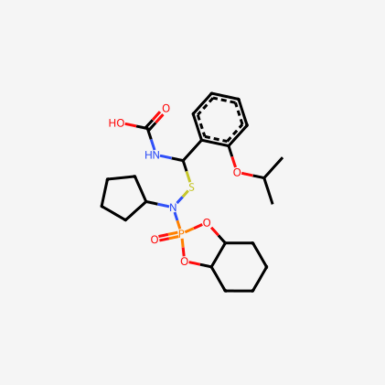 CC(C)Oc1ccccc1C(NC(=O)O)SN(C1CCCC1)P1(=O)OC2CCCCC2O1